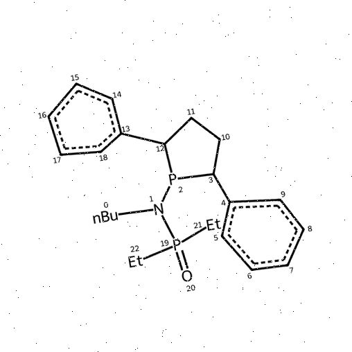 CCCCN(P1C(c2ccccc2)CCC1c1ccccc1)P(=O)(CC)CC